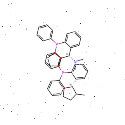 CC1CCC[C@@H]1c1ccccc1P(c1ccccc1)C1CCCC1[C@H](c1ccccc1P(c1ccccc1)c1ccccc1)N(C)C